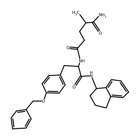 CC(C[CH]C(=O)NC(Cc1ccc(OCc2ccccc2)cc1)C(=O)NC1CCCc2ccccc21)C(N)=O